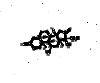 C=C1C[C@H]2[C@@H]3CCC4=CC(=O)C=C[C@]4(C)[C@@]3(F)[C@@H](O)C[C@]2(C)[C@@]1(O)C(=O)O